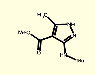 COC(=O)c1c(NC(C)(C)C)n[nH]c1C